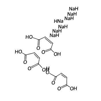 O=C(O)/C=C\C(=O)O.O=C(O)/C=C\C(=O)O.O=C(O)/C=C\C(=O)O.[NaH].[NaH].[NaH].[NaH].[NaH].[NaH].[NaH]